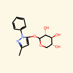 Cc1cc(OC2OC[C@@H](O)[C@H](O)[C@H]2O)n(-c2ccccc2)n1